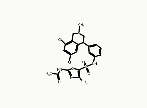 CC(=O)Nc1nc(C)c(S(=O)(=O)Nc2cccc(C3CN(C)Cc4c(Cl)cc(Cl)cc43)c2)s1